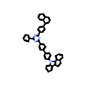 c1ccc(-c2nc(-c3ccc(-c4ccc(-n5c6ccccc6c6ccc7ccccc7c65)cc4)cc3)nc(-c3ccc(-c4cccc5ccccc45)cc3)n2)cc1